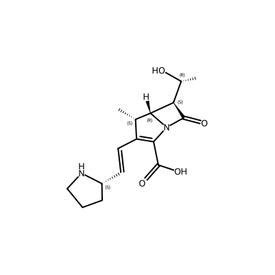 C[C@@H](O)[C@H]1C(=O)N2C(C(=O)O)=C(C=C[C@@H]3CCCN3)[C@H](C)[C@H]12